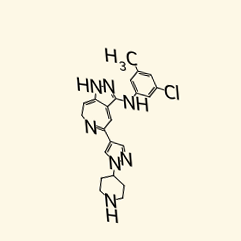 Cc1cc(Cl)cc(Nc2n[nH]c3c2=CC(c2cnn(C4CCNCC4)c2)=NCC=3)c1